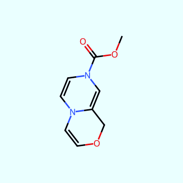 COC(=O)N1C=CN2C=COCC2=C1